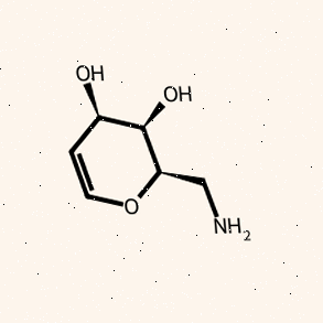 NC[C@H]1OC=C[C@@H](O)[C@H]1O